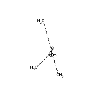 CCCCCCCCCCCCCCCCCCCCCCCC(=O)OC[C@H](COC(=O)CCCCCCCCCCCCCCC)OC(=O)CCCCCCCCCCCCCCC